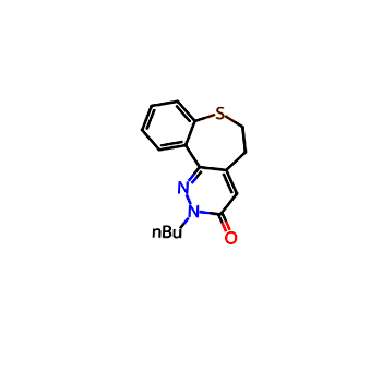 CCCCn1nc2c(cc1=O)CCSc1ccccc1-2